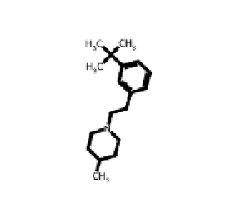 CC1CCN(CCc2cccc(C(C)(C)C)c2)CC1